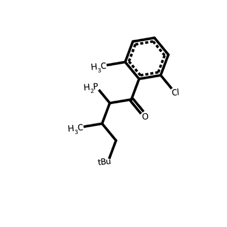 Cc1cccc(Cl)c1C(=O)C(P)C(C)CC(C)(C)C